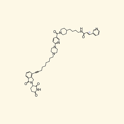 O=C(/C=C/c1cccnc1)NCCCCC1CCN(C(=O)c2ccc(N3CCN(CCCCCCCC#Cc4cccc5c4CN(C4CCC(=O)NC4=O)C5=O)CC3)nc2)CC1